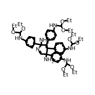 CCOC(Nc1ccc(C2=C(c3ccc(NC(OCC)OCC)cc3)C(N)(c3ccc(NC(OCC)OCC)cc3)N=CC2(N)c2ccc(NC(OCC)OCC)cc2)cc1)OCC